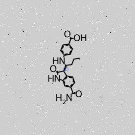 CCC/C(Nc1ccc(C(=O)O)cc1)=C1/C(=O)Nc2cc(C(N)=O)ccc21